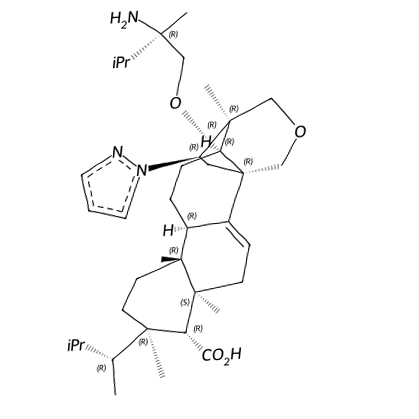 CC(C)[C@@H](C)[C@@]1(C)CC[C@]2(C)[C@H]3CC[C@@H]4[C@@]5(COC[C@]4(C)[C@@H](OC[C@](C)(N)C(C)C)[C@H](n4cccn4)C5)C3=CC[C@@]2(C)[C@@H]1C(=O)O